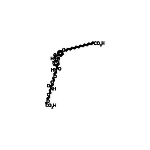 O=C(O)CCCCCCCCCCCCCCOc1ccc(S(=O)(=O)Nc2ncc(C(=O)NCCOCCOCC(=O)NCCOCCOCC(=O)O)cn2)cc1